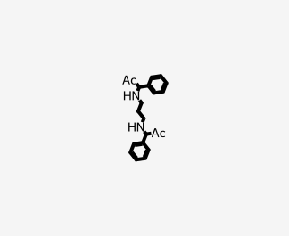 CC(=O)C(NCCCNC(C(C)=O)c1ccccc1)c1ccccc1